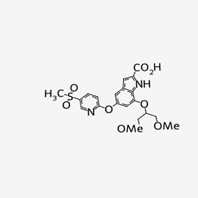 COCC(COC)Oc1cc(Oc2ccc(S(C)(=O)=O)cn2)cc2cc(C(=O)O)[nH]c12